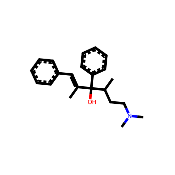 C/C(=C\c1ccccc1)C(O)(c1ccccc1)C(C)CCN(C)C